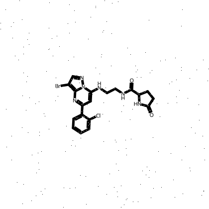 O=C1CCC(C(=O)NCCNc2cc(-c3ccccc3Cl)nc3c(Br)cnn23)N1